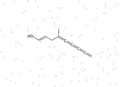 C=C=C=C=C=C(C)CC=CO